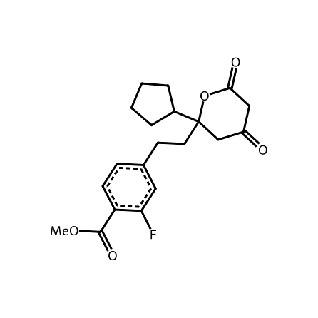 COC(=O)c1ccc(CCC2(C3CCCC3)CC(=O)CC(=O)O2)cc1F